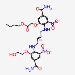 CCCCOC(=O)COc1cc(C(N)=O)cc([N+](=O)[O-])c1NC/C=C/CNc1c(OCCO)cc(C(N)=O)cc1[N+](=O)[O-]